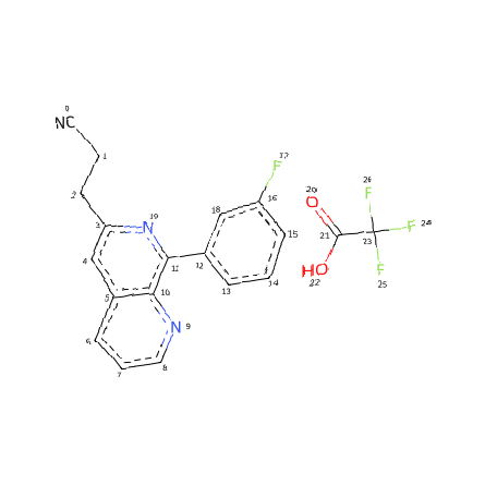 N#CCCc1cc2cccnc2c(-c2cccc(F)c2)n1.O=C(O)C(F)(F)F